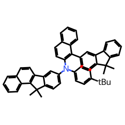 CC(C)(C)c1ccc(N(c2ccc3c(c2)-c2ccc4ccccc4c2C3(C)C)c2ccc3ccccc3c2-c2ccc3c(c2)-c2ccccc2C3(C)C)cc1